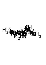 CCC(c1nc(-c2ccc(C(=O)Nc3cc(C)c#cn3)cc2)c2c(N)nccn12)N(C)C(=O)/C=C/COC